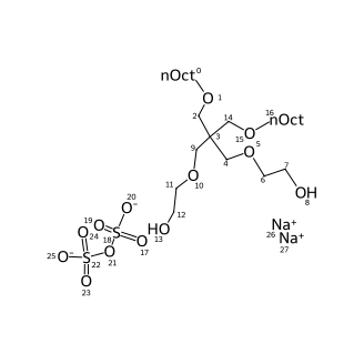 CCCCCCCCOCC(COCCO)(COCCO)COCCCCCCCC.O=S(=O)([O-])OS(=O)(=O)[O-].[Na+].[Na+]